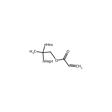 C=CC(=O)OCC(C)(CCCCCC)CCCCCCC